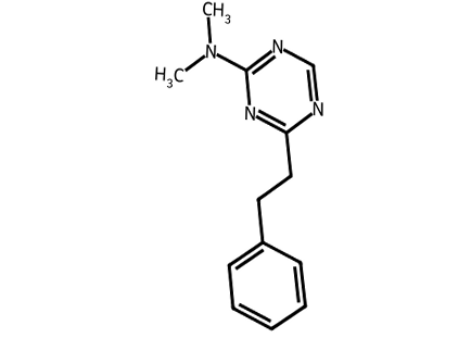 CN(C)c1ncnc(CCc2ccccc2)n1